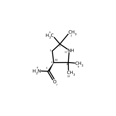 CC1(C)C[C@H](C(N)=O)C(C)(C)N1